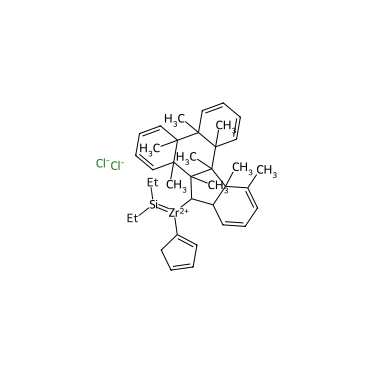 CC[Si](CC)=[Zr+2]([C]1=CC=CC1)[CH]1C2C=CC=C(C)C2(C)C2(C)C3(C)C=CC=CC3(C)C3(C)C=CC=CC3(C)C12C.[Cl-].[Cl-]